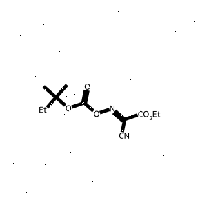 CCOC(=O)/C(C#N)=N/OC(=O)OC(C)(C)CC